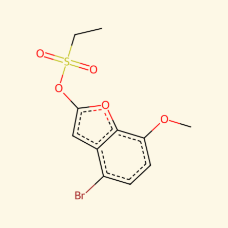 CCS(=O)(=O)Oc1cc2c(Br)ccc(OC)c2o1